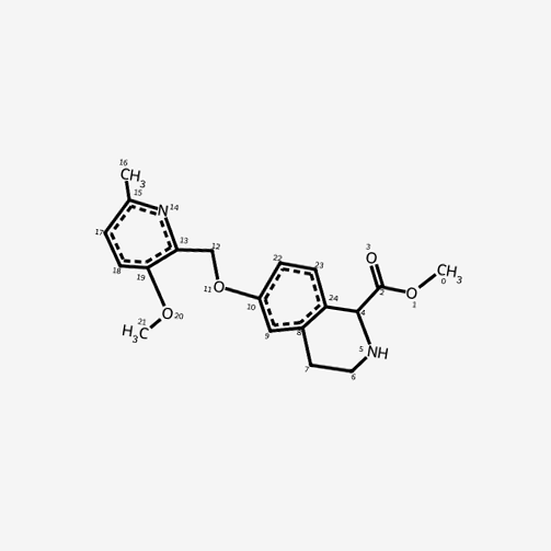 COC(=O)C1NCCc2cc(OCc3nc(C)ccc3OC)ccc21